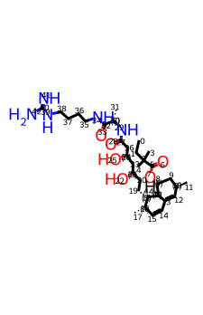 CCC(C)(C)C(=O)O[C@H]1C[C@@H](C)C=C2C=C[C@H](C)[C@H](CC[C@@H](O)C[C@@H](O)CC(=O)N[C@@H](C)C(=O)NCCCCNC(=N)N)[C@H]21